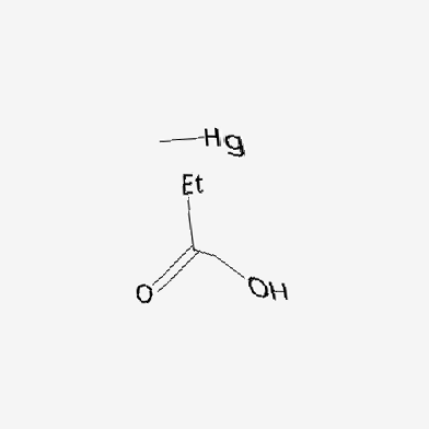 CCC(=O)O.[CH3][Hg]